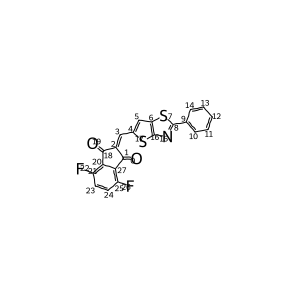 O=C1C(=Cc2cc3sc(-c4ccccc4)nc3s2)C(=O)c2c(F)ccc(F)c21